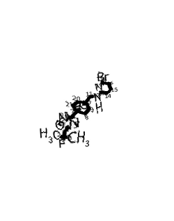 CC(C)(F)c1nc(C23CCC(CNc4cccc(Br)n4)(CC2)CC3)no1